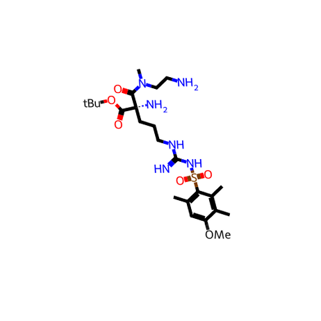 COc1cc(C)c(S(=O)(=O)NC(=N)NCCC[C@@](N)(C(=O)OC(C)(C)C)C(=O)N(C)CCN)c(C)c1C